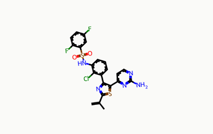 C=C(C)c1nc(-c2cccc(NS(=O)(=O)c3cc(F)ccc3F)c2Cl)c(-c2ccnc(N)n2)s1